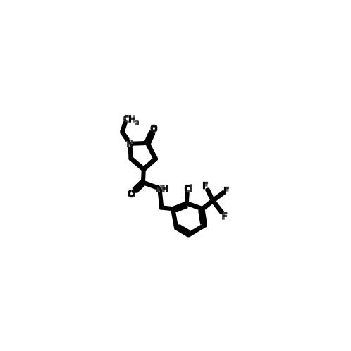 CCN1CC(C(=O)NCc2cccc(C(F)(F)F)c2Cl)CC1=O